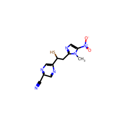 Cn1c([N+](=O)[O-])cnc1CC(S)c1cnc(C#N)cn1